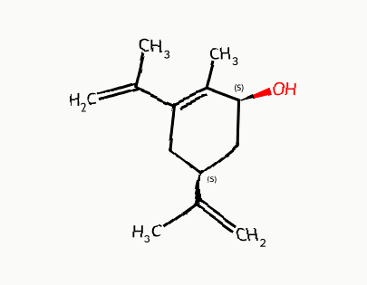 C=C(C)C1=C(C)[C@@H](O)C[C@@H](C(=C)C)C1